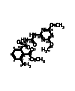 COC(=O)c1c(N)cccc1S(=O)(=O)NC(=O)Nc1nc(OC)nc(OC)n1